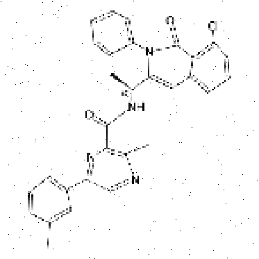 Cc1cccc(-c2cnc(C)c(C(=O)N[C@@H](C)c3cc4cccc(Cl)c4c(=O)n3-c3ccccc3)n2)c1